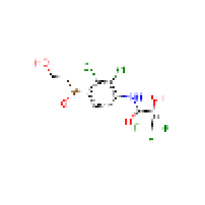 C[C@@](O)(C(=O)Nc1ccc([S+]([O-])CCO)c(Cl)c1Cl)C(F)(F)F